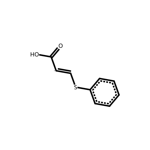 O=C(O)/[C]=C/Sc1ccccc1